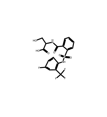 O=C(NC(CO)C(=O)O)c1ccccc1S(=O)(=O)Nc1ccc(F)cc1C(F)(F)F